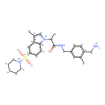 Cc1cc(CNC(=O)C(C)n2cc(C)c3cc(S(=O)(=O)N4CCCCC4)ccc32)ccc1CN